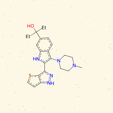 CCC(O)(CC)c1ccc2c(N3CCN(C)CC3)c(-c3n[nH]c4ccsc34)[nH]c2c1